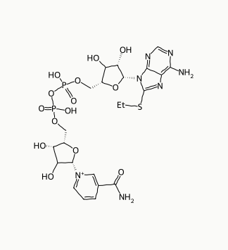 CCSc1nc2c(N)ncnc2n1[C@@H]1O[C@H](COP(=O)(O)OP(=O)(O)OC[C@@H]2O[C@H]([n+]3cccc(C(N)=O)c3)C(O)[C@@H]2O)C(O)[C@@H]1O